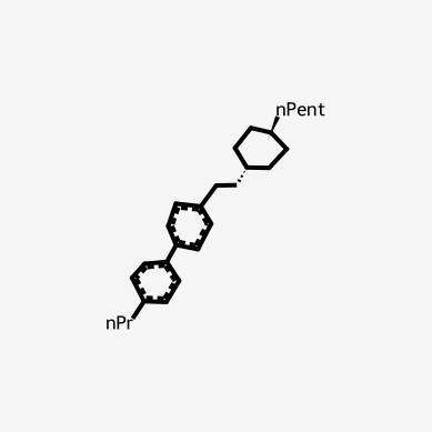 CCCCC[C@H]1CC[C@H](CCc2ccc(-c3ccc(CCC)cc3)cc2)CC1